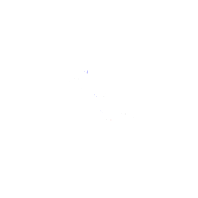 C=CCC(NC(=O)O)C(=O)NCc1cc(F)ccc1N